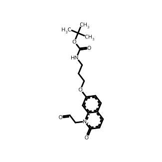 CC(C)(C)OC(=O)NCCCOc1ccc2ccc(=O)n(CC=O)c2c1